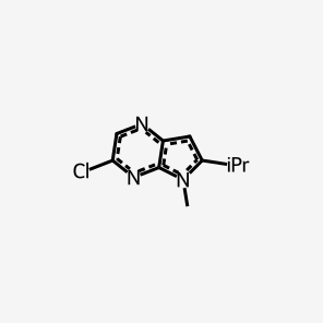 CC(C)c1cc2ncc(Cl)nc2n1C